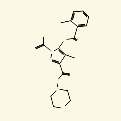 NC(=O)n1nc(C(=O)ON2CCOCC2)c(Br)c1NC(=O)c1ccccc1Cl